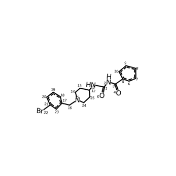 O=C(NC(=O)c1ccccc1)NC1CCN(Cc2cccc(Br)c2)CC1